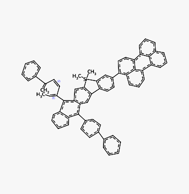 C=C(/C=C\C(=C/C)c1c2ccccc2c(-c2ccc(-c3ccccc3)cc2)c2cc3c(cc12)[Si](C)(C)c1cc(-c2ccc4c5cccc6cccc(c7cccc2c74)c65)ccc1-3)c1ccccc1